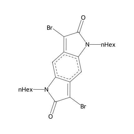 CCCCCCN1C(=O)C(Br)=c2cc3c(cc21)=C(Br)C(=O)N3CCCCCC